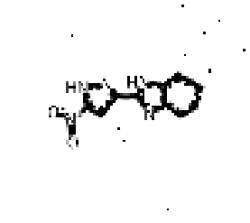 O=[N+]([O-])c1cc(-c2nc3ccccc3[nH]2)n[nH]1